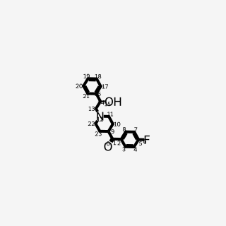 O=C(c1ccc(F)cc1)C1CCN(C[C@H](O)c2ccccc2)CC1